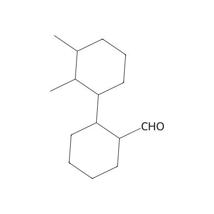 CC1CCCC(C2CCCCC2C=O)C1C